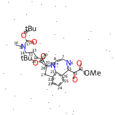 COC(=O)C(=O)C1=NC=C[N@+]2(CCCCCN(C)C(=O)OC(C)(C)C)c3c(cccc31)CC2C(=O)OC(C)(C)C